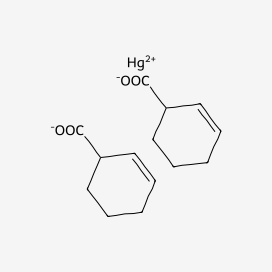 O=C([O-])C1C=CCCC1.O=C([O-])C1C=CCCC1.[Hg+2]